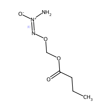 CCCC(=O)OCO/N=[N+](\N)[O-]